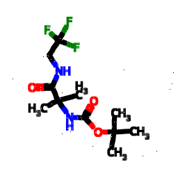 CC(C)(C)OC(=O)NC(C)(C)C(=O)NCC(F)(F)F